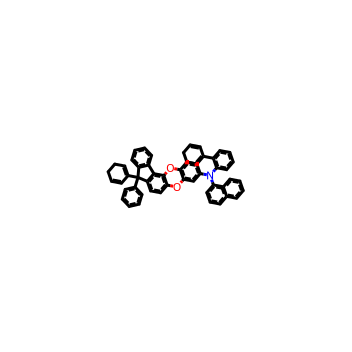 C1=CC(c2ccccc2N(c2ccc3c(c2)Oc2ccc4c(c2O3)-c2ccccc2C4(C2=CCCC=C2)c2ccccc2)c2cccc3ccccc23)=CCC1